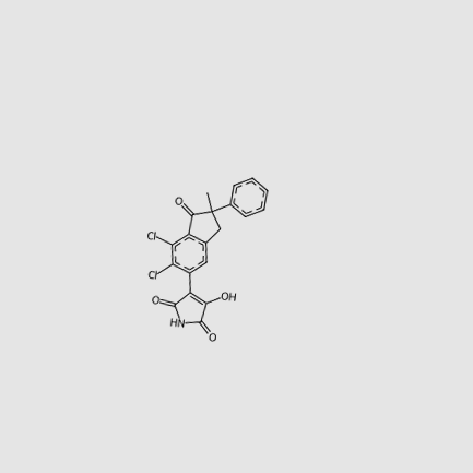 CC1(c2ccccc2)Cc2cc(C3=C(O)C(=O)NC3=O)c(Cl)c(Cl)c2C1=O